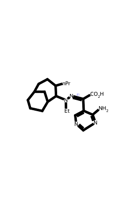 CCCC1CCC2CCCC(C2)C1N(CC)/N=C(/C(=O)O)c1cncnc1N